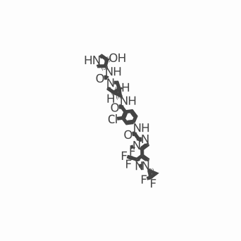 Cn1c(-c2cn([C@@H]3CC3(F)F)nc2C(F)(F)F)cnc1C(=O)Nc1ccc(C(=O)N[C@@H]2[C@@H]3CN(C(=O)N[C@H]4CNC[C@@H]4O)C[C@@H]32)c(Cl)c1